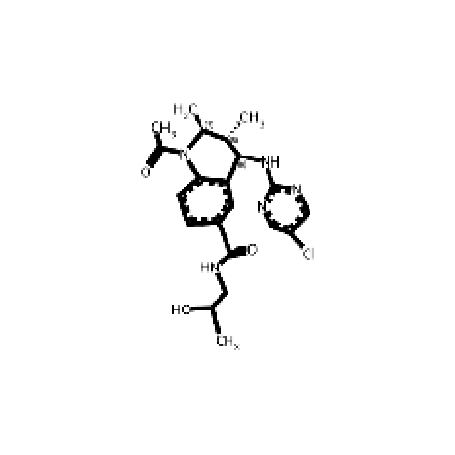 CC(=O)N1c2ccc(C(=O)NCC(C)O)cc2[C@H](Nc2ncc(Cl)cn2)[C@@H](C)[C@@H]1C